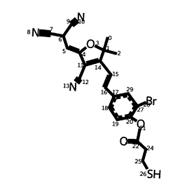 CC1(C)OC(=CC(C#N)C#N)C(C#N)=C1C=Cc1ccc(OC(=O)CCS)c(Br)c1